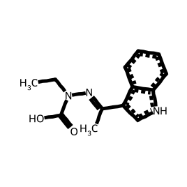 CCN(N=C(C)c1c[nH]c2ccccc12)C(=O)O